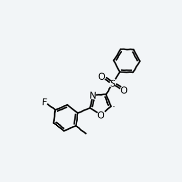 Cc1ccc(F)cc1-c1nc(S(=O)(=O)c2ccccc2)[c]o1